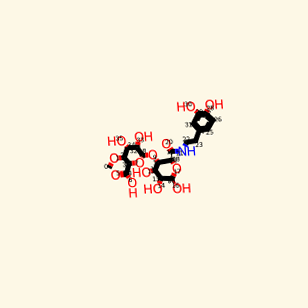 COC1C(C(=O)O)OC(OC2C(O)C(O)[C@H](O)O[C@H]2C(=O)NCCc2ccc(O)c(O)c2)C(O)C1O